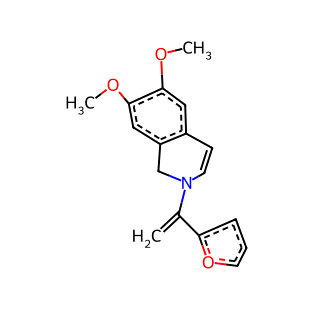 C=C(c1ccco1)N1C=Cc2cc(OC)c(OC)cc2C1